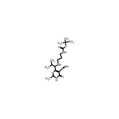 Cc1nc(C(NCCCNC(=O)OC(C)(C)C)C(C)C)c(B=N)c(=O)[nH]1